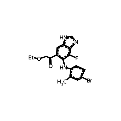 CCOCC(=O)c1cc2[nH]cnc2c(F)c1Nc1ccc(Br)cc1C